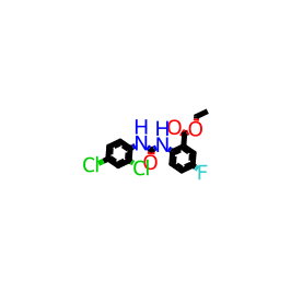 CCOC(=O)c1cc(F)ccc1NC(=O)Nc1ccc(Cl)cc1Cl